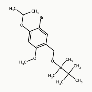 COc1cc(OC(C)C)c(Br)cc1CO[Si](C)(C)C(C)(C)C